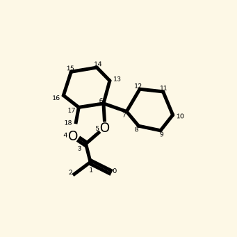 C=C(C)C(=O)OC1(C2CCCCC2)CCCCC1C